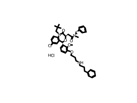 COc1c(OCCCNCCCc2ccccc2)cccc1[C@H]1O[C@H](CC(=O)N(C)Cc2ccccc2)C(=O)N(CC(C)(C)C)c2ccc(Cl)cc21.Cl